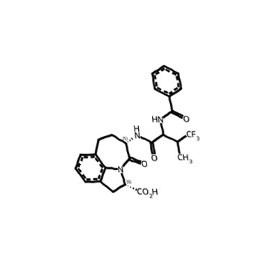 CC(C(NC(=O)c1ccccc1)C(=O)N[C@H]1CCc2cccc3c2N(C1=O)[C@H](C(=O)O)C3)C(F)(F)F